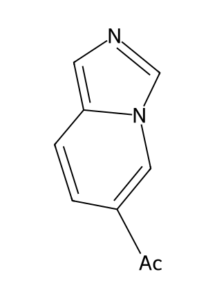 CC(=O)c1ccc2cncn2c1